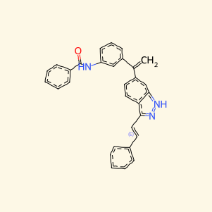 C=C(c1cccc(NC(=O)c2ccccc2)c1)c1ccc2c(/C=C/c3ccccc3)n[nH]c2c1